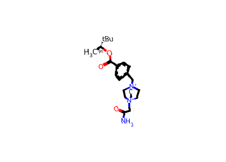 C[C@@H](OC(=O)c1ccc(C[N+]23CC[N+](CC(N)=O)(CC2)CC3)cc1)C(C)(C)C